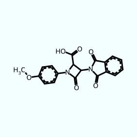 COc1ccc(N2C(=O)C(N3C(=O)c4ccccc4C3=O)C2C(=O)O)cc1